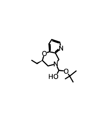 CC[C@@H]1CN(C(O)OC(C)(C)C)Cc2ncccc2O1